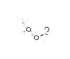 CNC(=O)CNc1ccc(NC(=O)c2ccc(C)c(C#Cc3cnc4ccccn34)c2)cc1C(F)(F)F